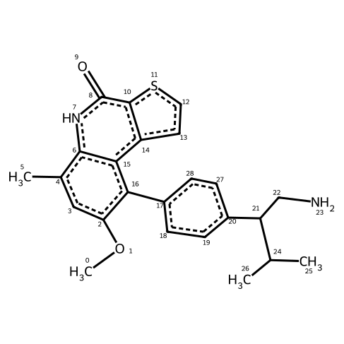 COc1cc(C)c2[nH]c(=O)c3sccc3c2c1-c1ccc(C(CN)C(C)C)cc1